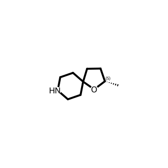 C[C@H]1CCC2(CCNCC2)O1